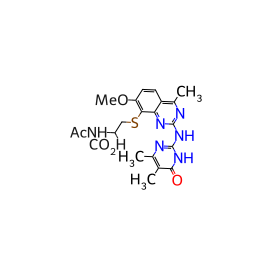 COc1ccc2c(C)nc(Nc3nc(C)c(C)c(=O)[nH]3)nc2c1SCC(NC(C)=O)C(=O)O